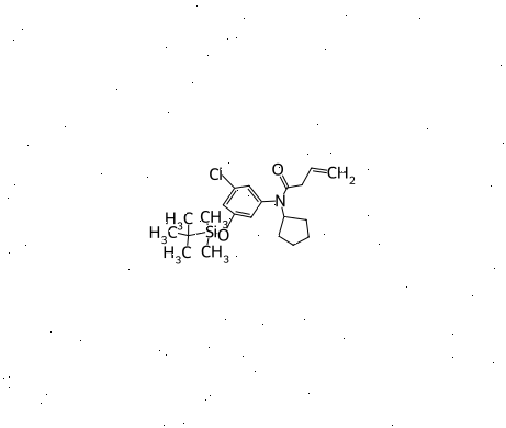 C=CCC(=O)N(c1cc(Cl)cc(O[Si](C)(C)C(C)(C)C)c1)C1CCCC1